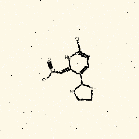 O=[N+]([O-])C=C1NC(Cl)=CC=C1C1NCCN1